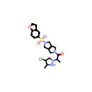 CC1NN(C(C)C(=O)N2CC3=C(C2)CN(S(=O)(=O)c2ccc4occc4c2)C3)CC1Cl